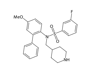 COc1ccc(N(CC2CCNCC2)S(=O)(=O)c2cccc(F)c2)c(-c2ccccc2)c1